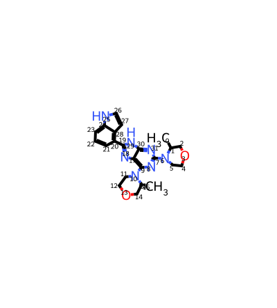 CC1COCCN1c1nc(N2CCOC[C@@H]2C)c2nc(-c3cccc4[nH]ccc34)[nH]c2n1